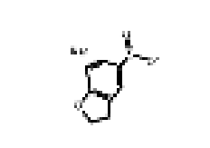 O=S([O-])c1ccc2c(c1)CCO2.[Na+]